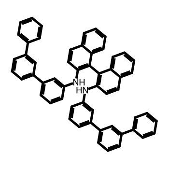 c1ccc(-c2cccc(-c3cccc(Nc4ccc5ccccc5c4-c4c(Nc5cccc(-c6cccc(-c7ccccc7)c6)c5)ccc5ccccc45)c3)c2)cc1